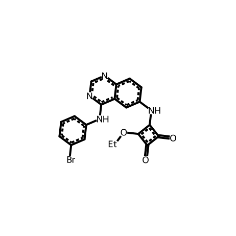 CCOc1c(Nc2ccc3ncnc(Nc4cccc(Br)c4)c3c2)c(=O)c1=O